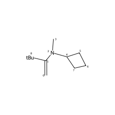 C=C(N(C)C1CCC1)C(C)(C)C